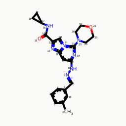 Cc1cccc(/C=N/Nc2cc3nc(C(=O)NC4CC4)cn3c(N3CCOCC3)n2)c1